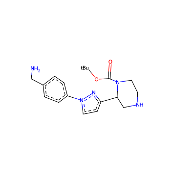 CC(C)(C)OC(=O)N1CCNCC1c1ccn(-c2ccc(CN)cc2)n1